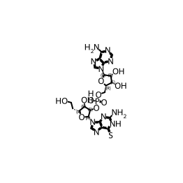 Nc1nc2c(ncn2[C@@H]2O[C@H](CCO)[C@@H](O)[C@H]2OP(=O)(O)OC[C@H]2O[C@@H](n3cnc4c(N)ncnc43)[C@H](O)[C@@H]2O)c(=S)[nH]1